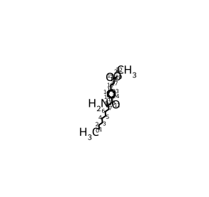 CCCCCCCCC(N)C(=O)c1ccc(CCC(=O)OCC)cc1